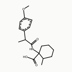 COc1ccc(C(C)C(=O)NC2(C(=O)O)CCCCC2C)cc1